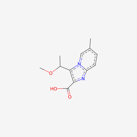 COC(C)c1c(C(=O)O)nc2ccc(C)cn12